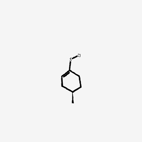 C[C@H]1CC=C(SCl)CC1